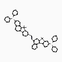 CC1(C)c2cc(N(c3ccccc3)c3ccccc3)ccc2-c2c1cc(/C=C/c1ccc3c(c1)C(C)(C)c1c-3ccc3cc(N(c4ccccc4)c4ccccc4)ccc13)c1ccccc21